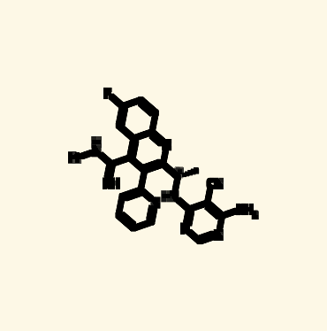 CCNC(=N)c1c(-c2ccccn2)c([C@H](C)Nc2ncnc(N)c2C#N)nc2ccc(F)cc12